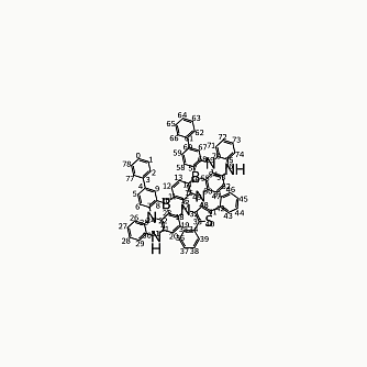 c1ccc(-c2ccc3c(c2)B2c4ccc5c6c4N(c4ccc7c(c42)N3c2ccccc2N7)c2c(-c3ccccc3)sc(-c3ccccc3)c2N6c2ccc3c4c2B5c2ccc(-c5ccccc5)cc2N4c2ccccc2N3)cc1